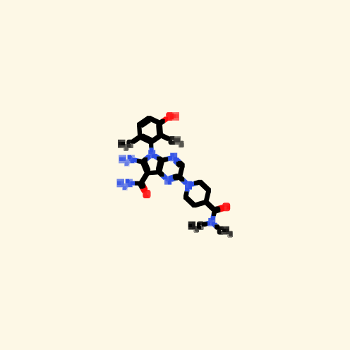 Cc1ccc(O)c(C)c1-n1c(N)c(C(N)=O)c2nc(N3CCC(C(=O)N(C)C)CC3)cnc21